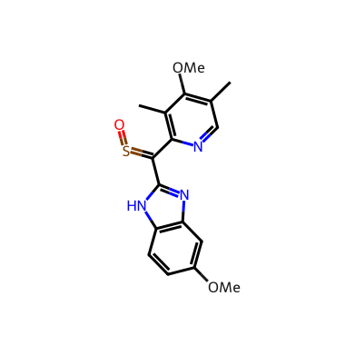 COc1ccc2[nH]c(C(=S=O)c3ncc(C)c(OC)c3C)nc2c1